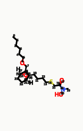 CCCCCCOC[C@H]1[C@@H](CCCCSCC(=O)N(C)O)[C@H]2CC[C@@H]1O2